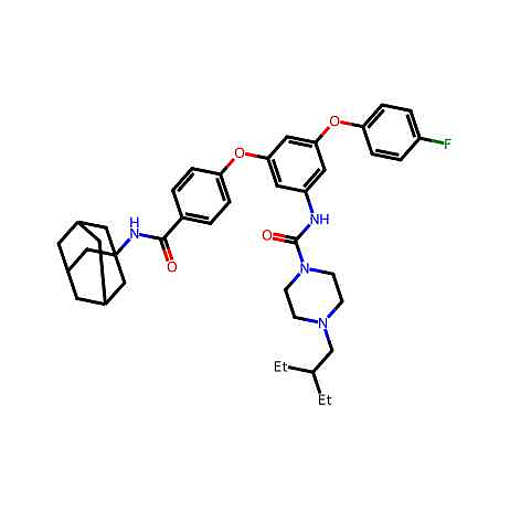 CCC(CC)CN1CCN(C(=O)Nc2cc(Oc3ccc(F)cc3)cc(Oc3ccc(C(=O)NC45CC6CC(CC(C6)C4)C5)cc3)c2)CC1